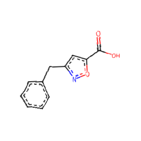 O=C(O)c1cc(Cc2ccccc2)no1